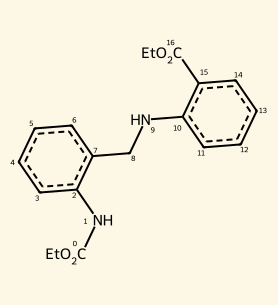 CCOC(=O)Nc1ccccc1CNc1ccccc1C(=O)OCC